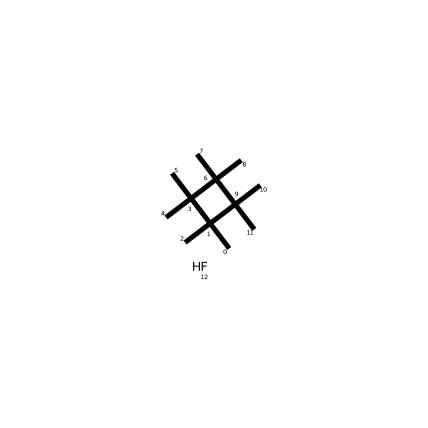 CC1(C)C(C)(C)C(C)(C)C1(C)C.F